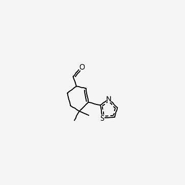 CC1(C)CCC(C=O)C=C1c1nccs1